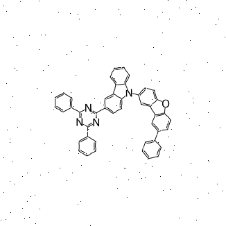 c1ccc(-c2ccc3oc4ccc(-n5c6ccccc6c6cc(-c7nc(-c8ccccc8)nc(-c8ccccc8)n7)ccc65)cc4c3c2)cc1